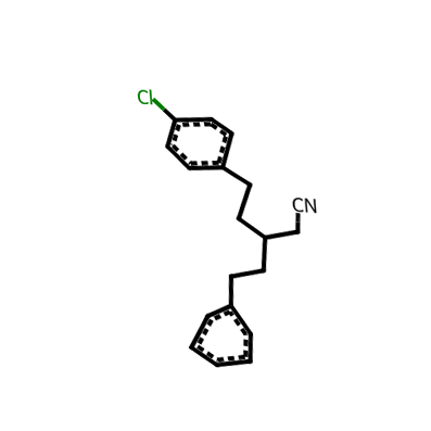 N#CCC(CCc1ccccc1)CCc1ccc(Cl)cc1